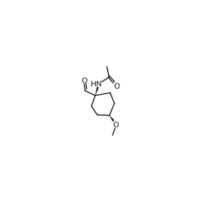 CO[C@H]1CC[C@@](C=O)(NC(C)=O)CC1